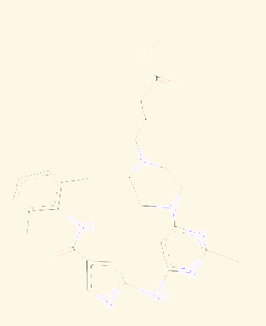 COC(=O)CCCN1CCN(c2cc(Nc3ncc(C(=O)Nc4c(C)cccc4Cl)s3)nc(C)n2)CC1